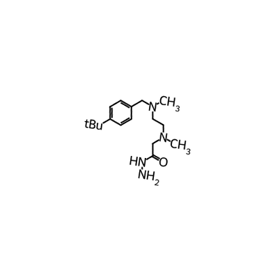 CN(CCN(C)Cc1ccc(C(C)(C)C)cc1)CC(=O)NN